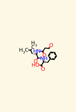 CC(C)C[C@H](NC(=O)CC=O)C(=O)N[C@@H](Cc1ccccc1)C(=O)O